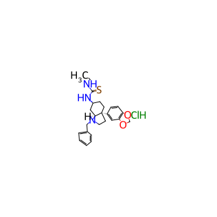 CCNC(=S)N[C@H]1CC[C@@]2(c3ccc4c(c3)OCO4)CCN(Cc3ccccc3)[C@H]2C1.Cl